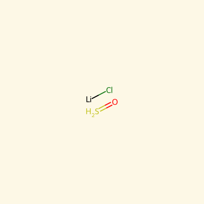 O=[SH2].[Li][Cl]